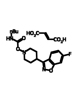 CCCCNC(=O)ON1CCC(c2noc3cc(F)ccc23)CC1.O=C(O)C=CC(=O)O